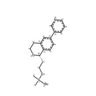 CC(C)(C)[Si](C)(C)OCC[C@@H]1OCCc2cc(-c3cccnc3)ccc21